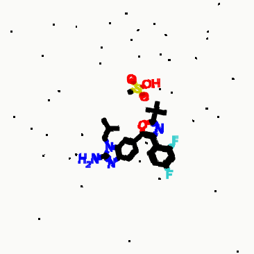 CC(C)Cn1c(N)nc2ccc(-c3oc(C(C)(C)C)nc3-c3ccc(F)cc3F)cc21.CS(=O)(=O)O